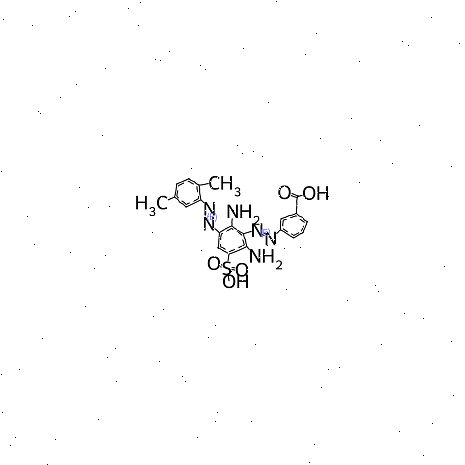 Cc1ccc(C)c(/N=N/c2cc(S(=O)(=O)O)c(N)c(/N=N/c3cccc(C(=O)O)c3)c2N)c1